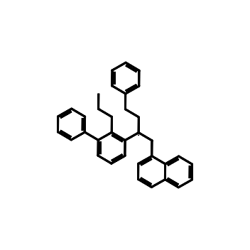 CCCc1c([C](CCc2ccccc2)Cc2cccc3ccccc23)cccc1-c1ccccc1